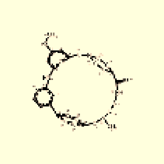 COc1cc2cc(c1)Nc1nccc(n1)-c1ccc(cc1)CN(C)CCNC(=O)C1CCN(CC1)C2